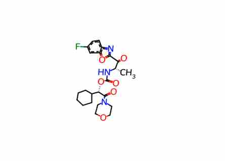 C[C@H](NC(=O)O[C@H](C(=O)N1CCOCC1)C1CCCCC1)C(=O)c1nc2ccc(F)cc2o1